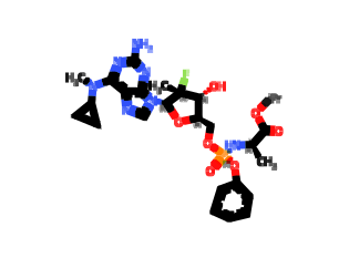 CC(C)OC(=O)[C@@H](C)N[P@](=O)(OC[C@H]1O[C@@H](n2cnc3c(N(C)C4CC4)nc(N)nc32)[C@](C)(F)[C@@H]1O)Oc1ccccc1